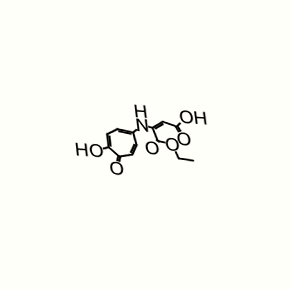 CCOC(=O)C(=CC(=O)O)Nc1ccc(O)c(=O)cc1